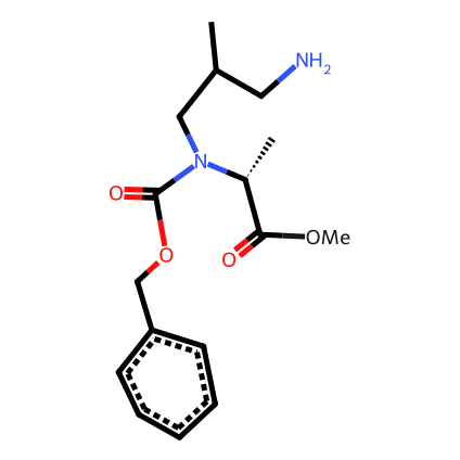 COC(=O)[C@@H](C)N(CC(C)CN)C(=O)OCc1ccccc1